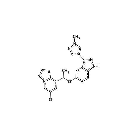 CC(Oc1ccc2[nH]nc(-c3cnn(C)c3)c2c1)c1cc(Cl)cn2nccc12